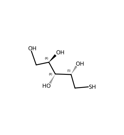 OC[C@@H](O)[C@@H](O)[C@H](O)CS